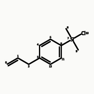 C=CCc1ccc([Si](C)(C)Cl)cc1